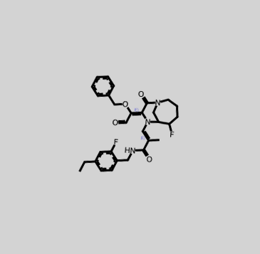 CCc1ccc(CNC(=O)/C(C)=C/N2/C(=C(\C=O)OCc3ccccc3)C(=O)N3CCCC(F)C2C3)c(F)c1